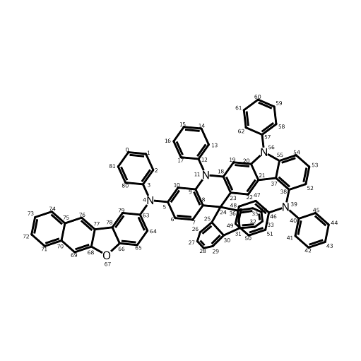 c1ccc(N(c2ccc3c(c2)N(c2ccccc2)c2cc4c(cc2C32c3ccccc3-c3ccccc32)c2c(N(c3ccccc3)c3ccccc3)cccc2n4-c2ccccc2)c2ccc3oc4cc5ccccc5cc4c3c2)cc1